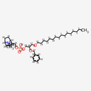 CCCCCCCCCCCCCCCCOCC(COP(=O)([O-])OCC1CCC2CCC1[N+]2(C)C)OCc1ccccc1